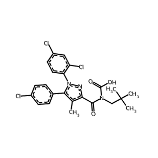 Cc1c(C(=O)N(CC(C)(C)C)C(=O)O)nn(-c2ccc(Cl)cc2Cl)c1-c1ccc(Cl)cc1